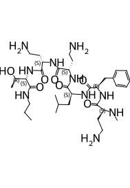 CCCNC(=O)[C@@H](NC(=O)[C@H](CCN)NC(=O)[C@H](CCN)NC(=O)[C@H](CC(C)C)NC(=O)[C@@H](Cc1ccccc1)NC(=O)[C@H](CCN)NC)[C@@H](C)O